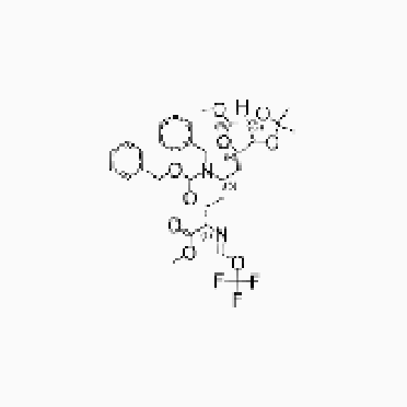 COC(=O)[C@H](CC[C@@H](C[C@H]1O[C@@H](OC)[C@H]2OC(C)(C)OC12)N(Cc1ccccc1)C(=O)OCc1ccccc1)N=COC(F)(F)F